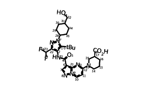 CC(C)(C)c1c(NC(=O)c2cnn3ccc(N4CCC[C@H](C(=O)O)C4)nc23)c(C(F)F)nn1C1CCC(CO)CC1